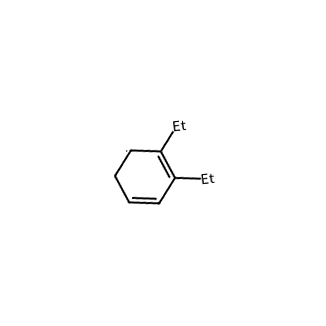 CCC1=C(CC)C=CC[CH]1